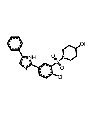 O=S(=O)(c1cc(-c2ncc(-c3ccccc3)[nH]2)ccc1Cl)N1CCC(O)CC1